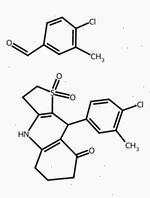 Cc1cc(C2C3=C(CCCC3=O)NC3=C2S(=O)(=O)CC3)ccc1Cl.Cc1cc(C=O)ccc1Cl